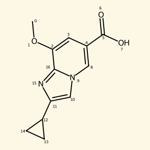 COc1cc(C(=O)O)cn2cc(C3CC3)nc12